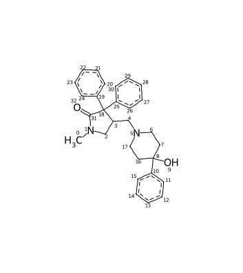 CN1CC(CN2CCC(O)(c3ccccc3)CC2)C(c2ccccc2)(c2ccccc2)C1=O